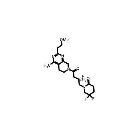 COCCc1nc2c(c(C(F)(F)F)n1)CCN(C(=O)C[C@H](N)CN1CC(F)(F)CCC1=O)C2